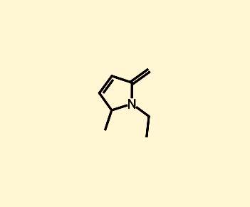 C=C1C=CC(C)N1CC